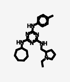 CCN1CCCC1CNc1nc(Nc2ccc(C)cc2)nc(NC2CCCCCC2)n1